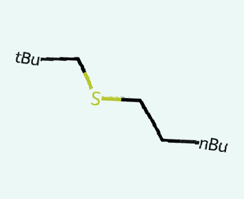 CCCCCCSCC(C)(C)C